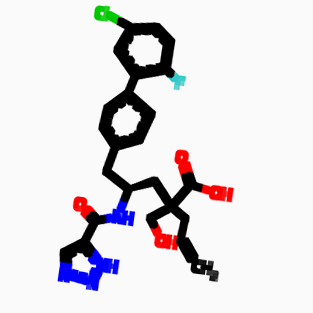 C=CCC(CO)(C[C@H](Cc1ccc(-c2cc(Cl)ccc2F)cc1)NC(=O)c1cnn[nH]1)C(=O)O